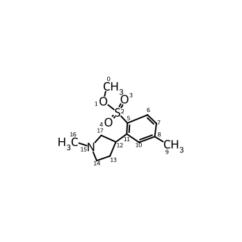 COS(=O)(=O)c1ccc(C)cc1C1CCN(C)C1